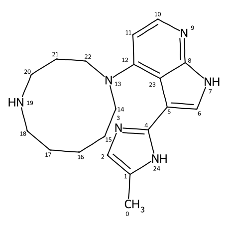 Cc1cnc(-c2c[nH]c3nccc(N4CCCCCNCCC4)c23)[nH]1